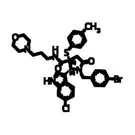 Cc1ccc(S[C@]2(C(=O)NCCCN3CCOCC3)CC(=O)N(Cc3ccc(Br)cc3)[C@@H]2c2c[nH]c3cc(Cl)ccc23)cc1